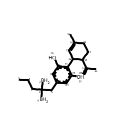 BC(B)(CCC)Cc1cc(O)c(C2C=C(C)CCC2C(=C)C)c(O)c1